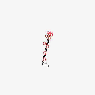 CCOCCOCCOC(=O)CCOS(=O)(=O)O